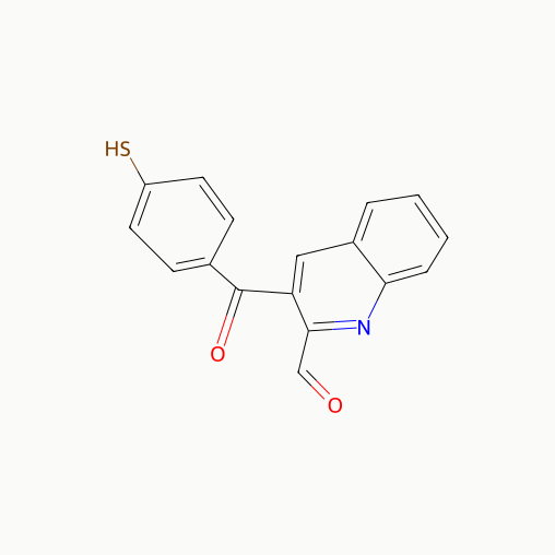 O=Cc1nc2ccccc2cc1C(=O)c1ccc(S)cc1